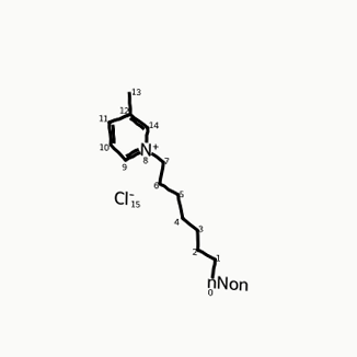 CCCCCCCCCCCCCCCC[n+]1cccc(C)c1.[Cl-]